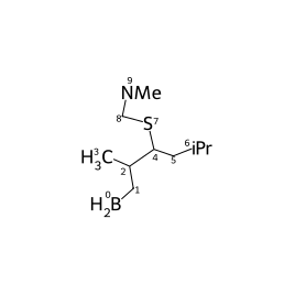 BCC(C)C(CC(C)C)SCNC